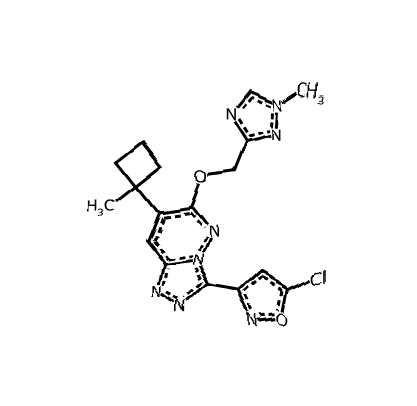 Cn1cnc(COc2nn3c(-c4cc(Cl)on4)nnc3cc2C2(C)CCC2)n1